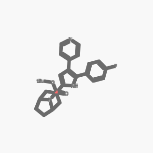 CC(C)(C)OC(=O)N1C2CCC1CC(c1cc(-c3ccncc3)c(-c3ccc(F)cc3)[nH]1)C2